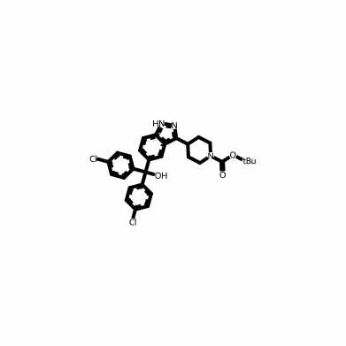 CC(C)(C)OC(=O)N1CCC(c2n[nH]c3ccc(C(O)(c4ccc(Cl)cc4)c4ccc(Cl)cc4)cc23)CC1